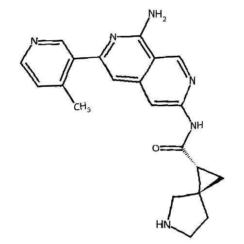 Cc1ccncc1-c1cc2cc(NC(=O)[C@@H]3C[C@]34CCNC4)ncc2c(N)n1